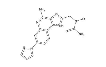 CCN(Cc1nc2c(N)nc3cc(-n4cccn4)ccc3c2[nH]1)C(N)=O